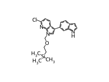 C[Si](C)(C)CCOCn1cc(-c2ccc3cc[nH]c3c2)c2ccc(Cl)nc21